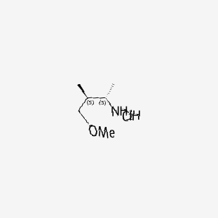 COC[C@@H](C)[C@H](C)N.Cl